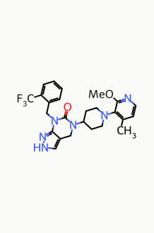 COc1nccc(C)c1N1CCC(N2Cc3c[nH]nc3N(Cc3ccccc3C(F)(F)F)C2=O)CC1